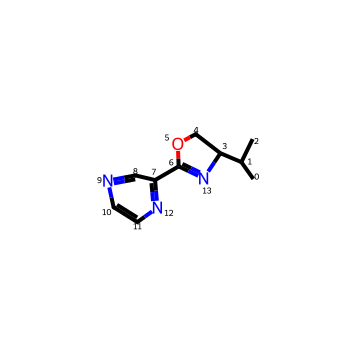 CC(C)C1COC(c2cnccn2)=N1